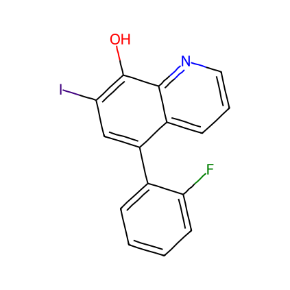 Oc1c(I)cc(-c2ccccc2F)c2cccnc12